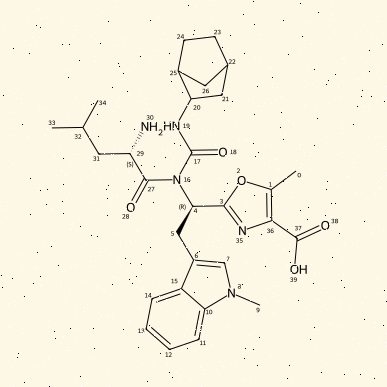 Cc1oc([C@@H](Cc2cn(C)c3ccccc23)N(C(=O)NC2CC3CCC2C3)C(=O)[C@@H](N)CC(C)C)nc1C(=O)O